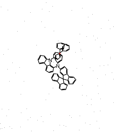 c1ccc(-c2ccc(N(c3ccc4c(c3)C3(c5ccccc5-c5ccccc53)c3ccccc3-4)c3cccc4c5ccccc5n(-c5ccc(-c6ccccc6)cc5)c34)cc2)cc1